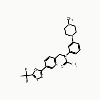 CC(=O)N(Cc1ccc(-c2nnc(C(F)(F)F)o2)cn1)c1cccc(N2CCN(C)CC2)c1